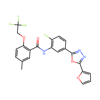 Cc1ccc(OCC(F)(F)F)c(C(=O)Nc2cc(-c3nnc(-c4ccco4)o3)ccc2F)c1